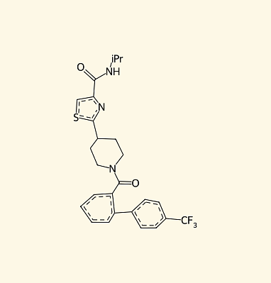 CC(C)NC(=O)c1csc(C2CCN(C(=O)c3ccccc3-c3ccc(C(F)(F)F)cc3)CC2)n1